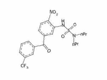 CCCN(CCC)S(=O)(=O)Nc1cc(C(=O)c2cccc(C(F)(F)F)c2)ccc1[N+](=O)[O-]